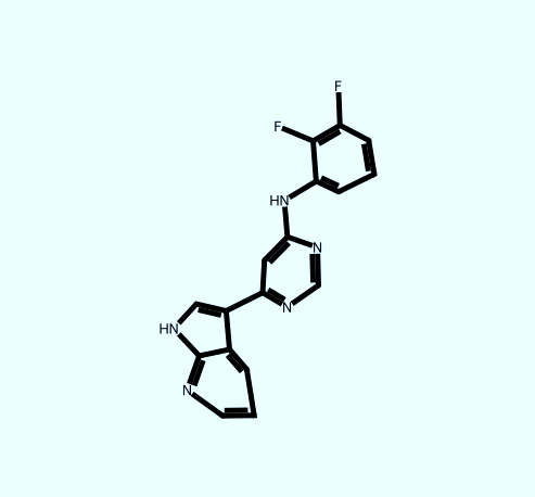 Fc1cccc(Nc2cc(-c3c[nH]c4ncccc34)ncn2)c1F